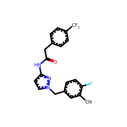 N#Cc1cc(Cn2ccc(NC(=O)Cc3ccc(C(F)(F)F)cc3)n2)ccc1F